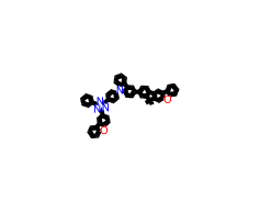 CC1(C)c2cc(-c3ccc4c(c3)c3ccccc3n4-c3ccc(-c4nc(-c5ccccc5)nc(-c5ccc6oc7ccccc7c6c5)n4)cc3)ccc2-c2cc3c(cc21)oc1ccccc13